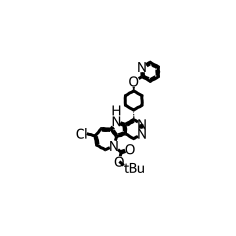 CC(C)(C)OC(=O)N1CC=C(Cl)C=c2[nH]c3c(c21)CN=NC=3[C@H]1CC[C@H](Oc2ccccn2)CC1